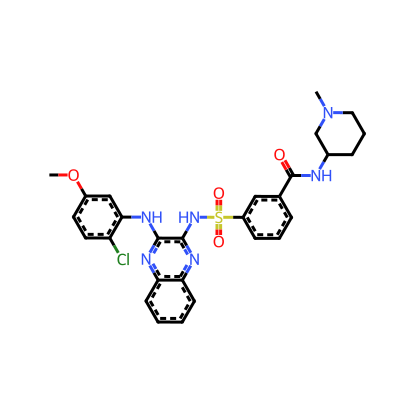 COc1ccc(Cl)c(Nc2nc3ccccc3nc2NS(=O)(=O)c2cccc(C(=O)NC3CCCN(C)C3)c2)c1